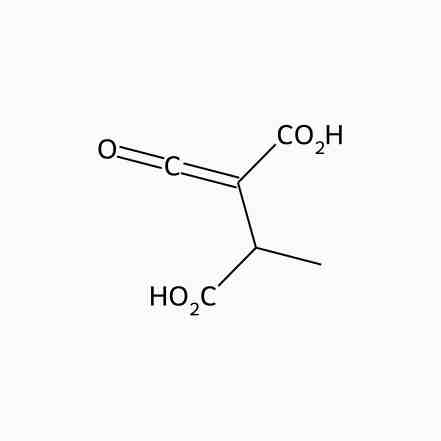 CC(C(=O)O)C(=C=O)C(=O)O